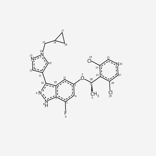 C[C@@H](Oc1cc(F)c2[nH]nc(-c3cnn(CC4CC4)c3)c2c1)c1c(Cl)cncc1Cl